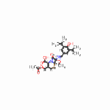 CO[C@@]1(/N=C/c2cc(C(C)C)c(O)c(C(C)C)c2)C(=O)N2C(C(=O)O)=C(COC(C)=O)CS[C@@H]21